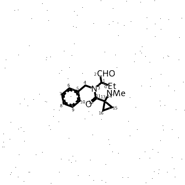 CCC(C=O)N(Cc1ccccc1)C(=O)C1(NC)CC1